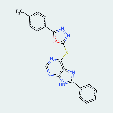 FC(F)(F)c1ccc(-c2nnc(Sc3ncnc4[nH]c(-c5ccccc5)nc34)o2)cc1